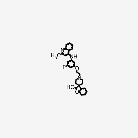 Cc1cc(Nc2cc(F)cc(OCCN3CCC(C(=O)O)(c4ccccc4)CC3)c2)c2ccccc2n1